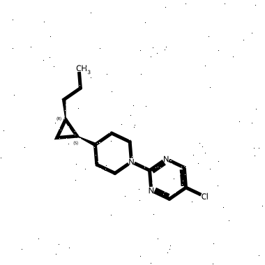 CCC[C@@H]1C[C@@H]1C1CCN(c2ncc(Cl)cn2)CC1